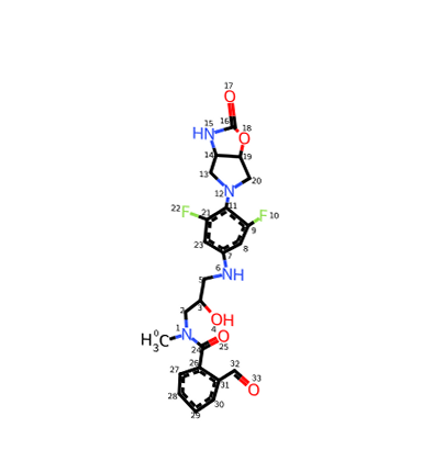 CN(CC(O)CNc1cc(F)c(N2CC3NC(=O)OC3C2)c(F)c1)C(=O)c1ccccc1C=O